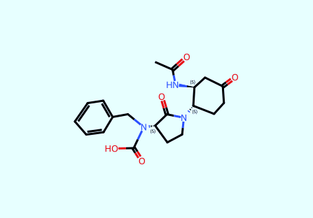 CC(=O)N[C@H]1CC(=O)CC[C@@H]1N1CC[C@H](N(Cc2ccccc2)C(=O)O)C1=O